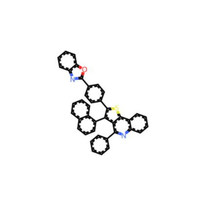 c1ccc(-c2nc3ccccc3c3sc(-c4ccc(-c5nc6ccccc6o5)cc4)c(-c4cccc5ccccc45)c23)cc1